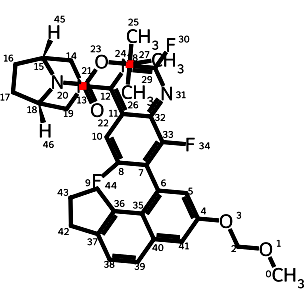 COCOc1cc(-c2c(F)cc3c(N4C[C@H]5CC[C@@H](C4)N5C(=O)OC(C)(C)C)nc(F)nc3c2F)c2c3c(ccc2c1)CCC3